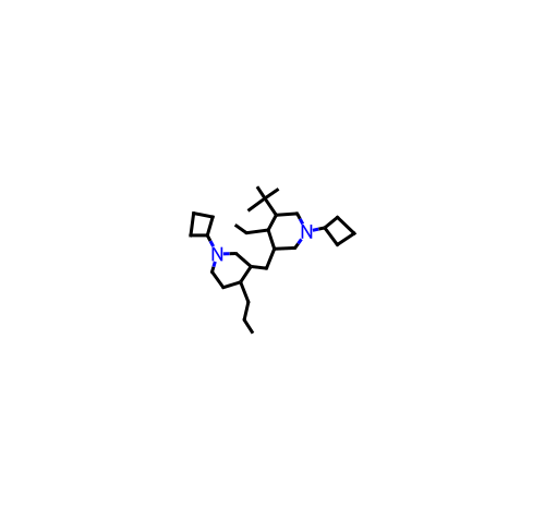 CCCC1CCN(C2CCC2)CC1CC1CN(C2CCC2)CC(C(C)(C)C)C1CC